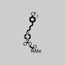 CNC(=O)COC(=O)N1CCN(CCCCc2ccc(C(F)(F)F)cc2)CC1